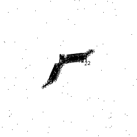 CCCCCCCOCC(F)(F)C(F)(F)C(F)(F)C(F)(F)C(F)(F)C(F)(F)C(F)(F)C(F)(F)C(F)(F)C(F)(F)COCCC(CCOCC(F)(F)C(F)(F)C(F)(F)C(F)(P)C(F)(F)C(F)(P)C(F)(F)C(F)(P)C(F)(F)C(F)(F)COCCCCCCC)OCCN(C)C